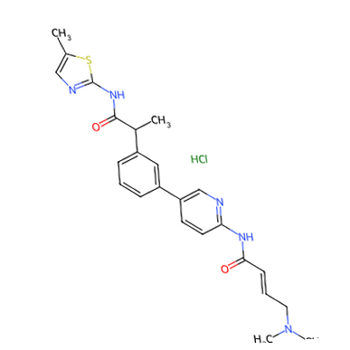 Cc1cnc(NC(=O)C(C)c2cccc(-c3ccc(NC(=O)/C=C/CN(C)C)nc3)c2)s1.Cl